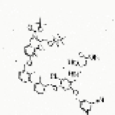 COc1nc(OCc2cccc(-c3cccc(COc4cc(OCc5cncc(C#N)c5)c(CNCC(O)CC(=O)O)cc4Cl)c3C)c2C)ccc1CN(CCO[Si](C)(C)C(C)(C)C)C(=O)OC(C)(C)C